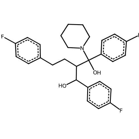 OC(c1ccc(F)cc1)C(CCc1ccc(F)cc1)C(O)(c1ccc(F)cc1)N1CCCCC1